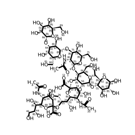 CC(=O)N[C@H]1[C@H](O[C@@H]2[C@H](O[C@]3(C(=O)O)C[C@H](O)[C@@H](NC(C)=O)[C@H]([C@H](O)[C@@H](CO)O[C@]4(C(=O)O)C[C@H](O)[C@@H](NC(C)=O)[C@H]([C@H](O)[C@H](O)CO)O4)O3)[C@@H](O)[C@H](O[C@H]3[C@H](O)[C@@H](O)[C@H](O)O[C@@H]3CO)O[C@@H]2CO)O[C@H](CO)[C@H](O)[C@@H]1O[C@@H]1O[C@H](CO)[C@H](O)[C@H](O[C@H]2O[C@H](CO)[C@H](O)[C@H](O)[C@H]2O)[C@H]1O